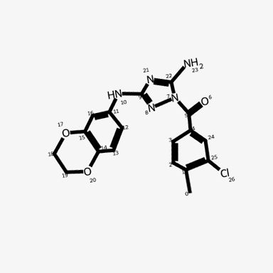 Cc1ccc(C(=O)n2nc(Nc3ccc4c(c3)OCCO4)nc2N)cc1Cl